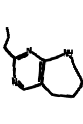 CCc1ncc2c(n1)NCCCC2